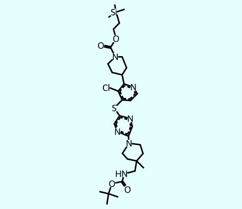 CC1(CNC(=O)OC(C)(C)C)CCN(c2cnc(Sc3ccnc(C4CCN(C(=O)OCC[Si](C)(C)C)CC4)c3Cl)cn2)CC1